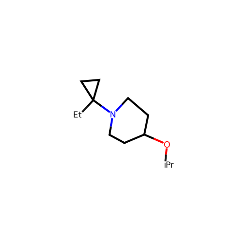 CCC1(N2CCC(OC(C)C)CC2)CC1